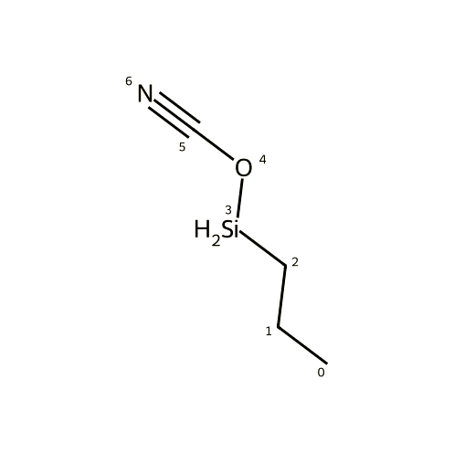 CCC[SiH2]OC#N